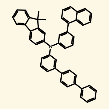 CC1(C)c2ccccc2-c2ccc(N(c3cccc(-c4ccc(-c5ccccc5)cc4)c3)c3cccc(-c4cccc5ccccc45)c3)cc21